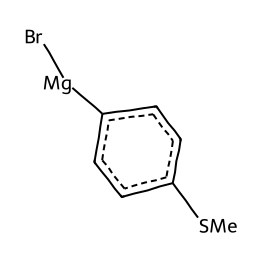 CSc1cc[c]([Mg][Br])cc1